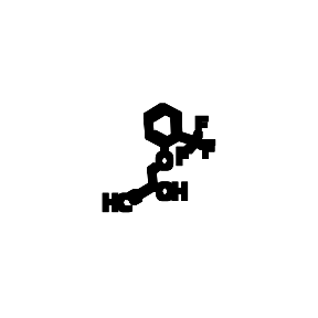 C#CC(O)COc1ccccc1C(F)(F)F